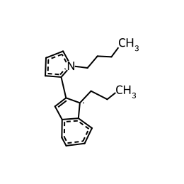 CCCCn1cccc1C1=Cc2ccccc2[C]1CCC